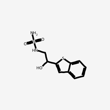 NS(=O)(=O)NCC(O)c1cc2ccccc2s1